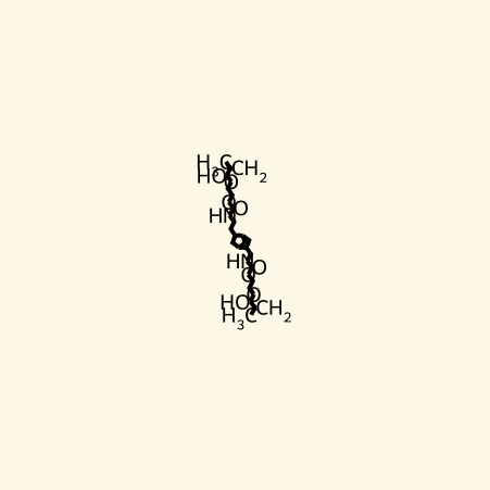 C=C(C)C(O)OCCOC(=O)NCCC1CC2CC1CC2CNC(=O)OCCOC(O)C(=C)C